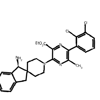 CCOC(=O)c1nc(-c2cccc(Cl)c2Cl)c(C)nc1N1CCC2(CC1)Cc1ccccc1[C@H]2N